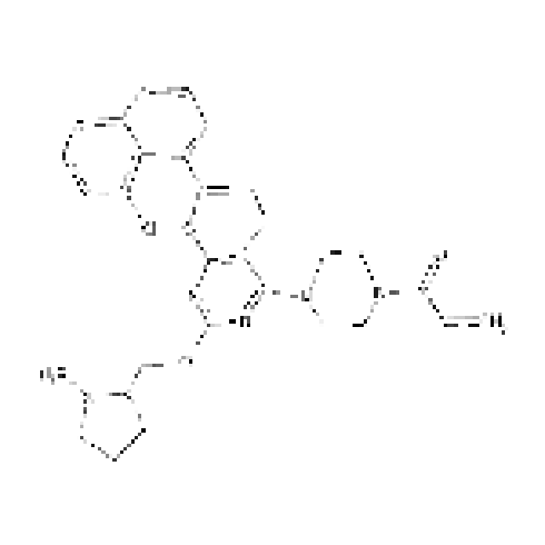 C=CC(=O)N1CCN(c2nc(OCC3CCCN3C)nc3c2CC=C(c2cccc4cccc(Cl)c24)O3)CC1